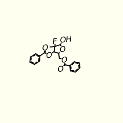 CC1(F)C(OC(=O)c2ccccc2)C(COC(=O)c2ccccc2)O[C@@H]1O